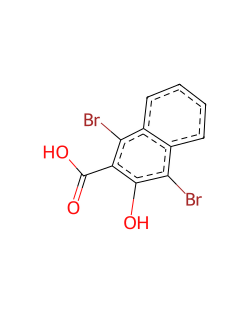 O=C(O)c1c(O)c(Br)c2ccccc2c1Br